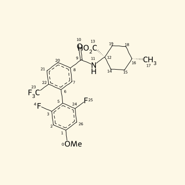 COc1cc(F)c(-c2cc(C(=O)N[C@]3(C(=O)O)CC[C@@H](C)CC3)ccc2C(F)(F)F)c(F)c1